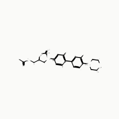 CC(=O)NCC1CN(c2ccc(-c3ccc(N4CCSCC4)c(F)c3)c(F)c2)C(=O)O1